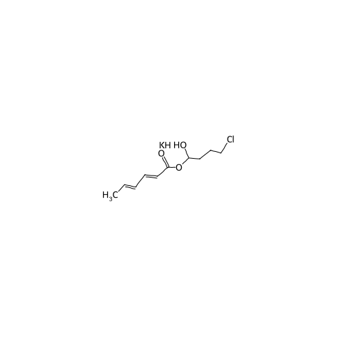 C/C=C/C=C/C(=O)OC(O)CCCCl.[KH]